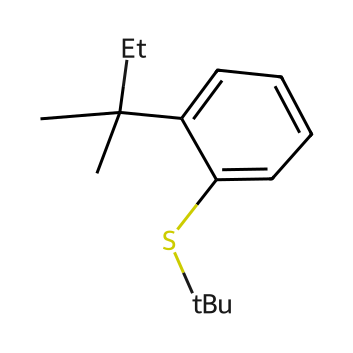 CCC(C)(C)c1ccccc1SC(C)(C)C